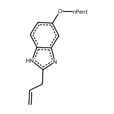 C=CCc1nc2cc(OCCCCC)ccc2[nH]1